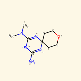 CN(C)C1=NC2(CCOCC2)N=C(N)N1